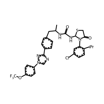 CC(Cc1ccc(-c2ncn(-c3ccc(OC(F)(F)F)cc3)n2)cc1)NC(=O)NC1SCC(=O)N1c1cc(Cl)ccc1C(C)C